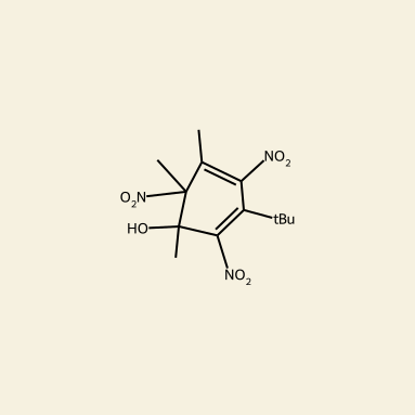 CC1=C([N+](=O)[O-])C(C(C)(C)C)=C([N+](=O)[O-])C(C)(O)C1(C)[N+](=O)[O-]